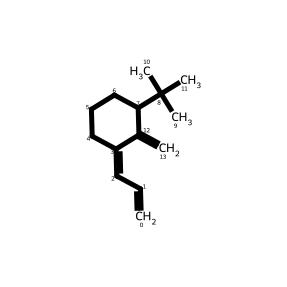 C=C/C=C1/CCCC(C(C)(C)C)C1=C